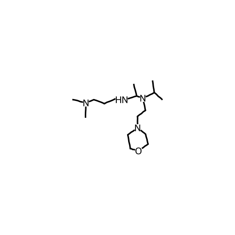 CC(C)N(CCN1CCOCC1)C(C)NCCCN(C)C